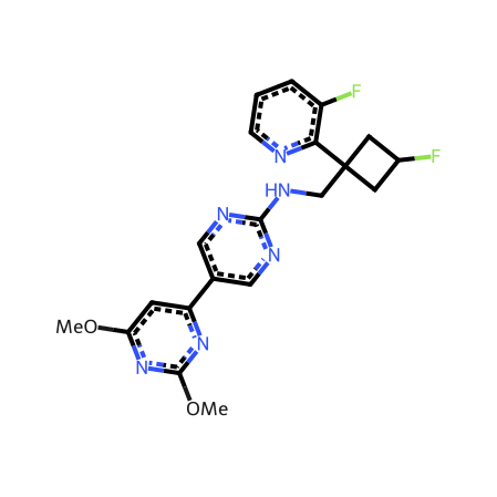 COc1cc(-c2cnc(NCC3(c4ncccc4F)CC(F)C3)nc2)nc(OC)n1